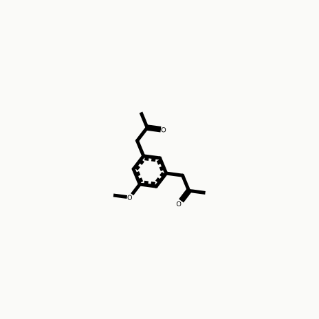 COc1cc(CC(C)=O)cc(CC(C)=O)c1